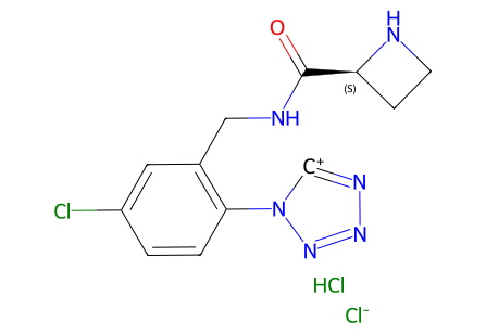 Cl.O=C(NCc1cc(Cl)ccc1N1[C+]=NN=N1)[C@@H]1CCN1.[Cl-]